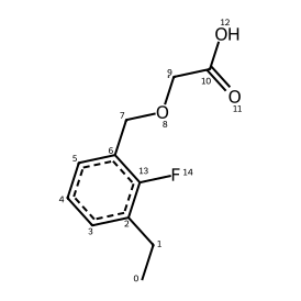 CCc1cccc(CO[CH]C(=O)O)c1F